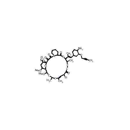 CC#CCOC1CC(C=C(C)C2OC(=O)C3CCCCN3C(=O)C(=O)C3(O)OC(C(OC)CC(C)C/C(C)=C/C(CC)C(=O)CCC2C)C(OC)CC3C)CCC1N